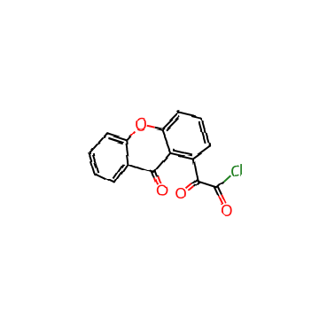 O=C(Cl)C(=O)c1cccc2oc3ccccc3c(=O)c12